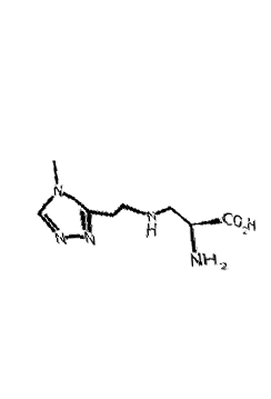 Cn1cnnc1CNC[C@H](N)C(=O)O